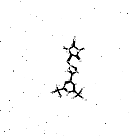 CN1C(=O)/C(=C\n2cnc(-c3cc(C(F)(F)F)nc(C(F)(F)F)c3)n2)N(C)C1=O